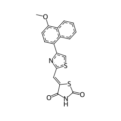 COc1ccc(-c2csc(/C=C3\SC(=O)NC3=O)n2)c2ccccc12